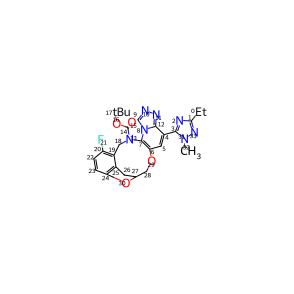 CCc1nc(-c2cc3c(n4cnnc24)N(C(=O)OC(C)(C)C)Cc2c(F)ccc4c2CC(CO3)O4)n(C)n1